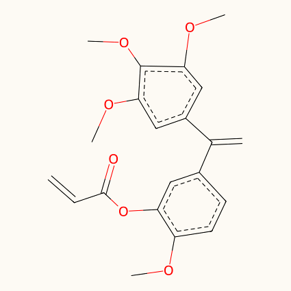 C=CC(=O)Oc1cc(C(=C)c2cc(OC)c(OC)c(OC)c2)ccc1OC